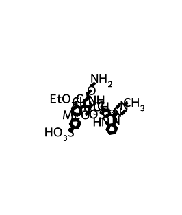 CCOC(=O)C1=C(COCCN)NC(C)=C(C(=O)OC)C1c1ccccc1Cl.Cc1cc2c(s1)Nc1ccccc1N=C2N1CCN(C)CC1.O=S(=O)(O)c1ccccc1